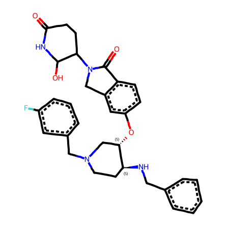 O=C1CCC(N2Cc3cc(O[C@H]4CN(Cc5cccc(F)c5)CC[C@@H]4NCc4ccccc4)ccc3C2=O)C(O)N1